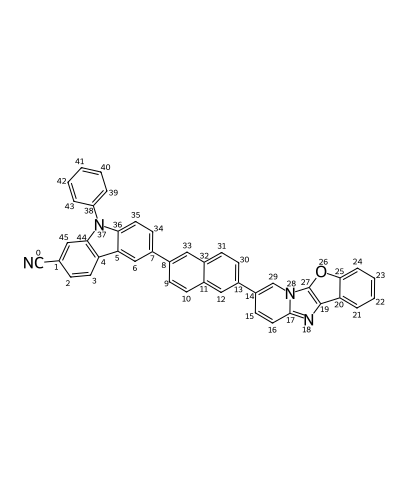 N#Cc1ccc2c3cc(-c4ccc5cc(-c6ccc7nc8c9ccccc9oc8n7c6)ccc5c4)ccc3n(-c3ccccc3)c2c1